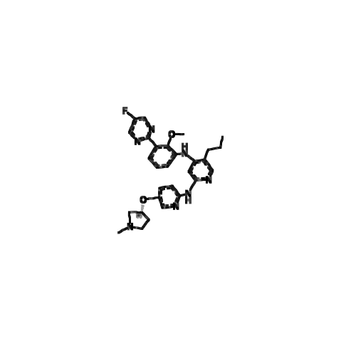 CCCc1cnc(Nc2ccc(O[C@@H]3CCN(C)C3)cn2)cc1Nc1cccc(-c2ncc(F)cn2)c1OC